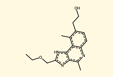 CCOCc1nc2c(C)nc3ccc(CCO)c(C)c3c2[nH]1